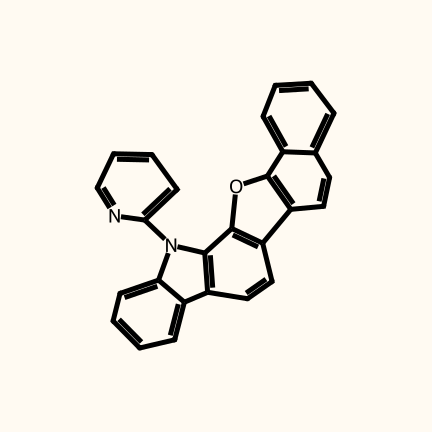 c1ccc(-n2c3ccccc3c3ccc4c5ccc6ccccc6c5oc4c32)nc1